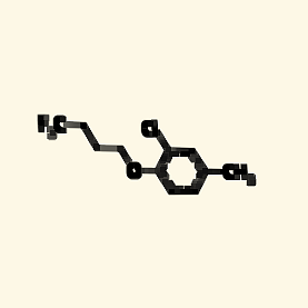 Cc1ccc(OCCCC(F)(F)F)c(Cl)c1